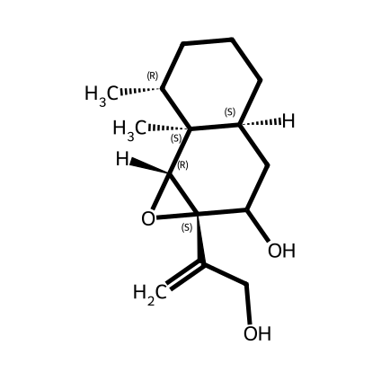 C=C(CO)[C@@]12O[C@@H]1[C@]1(C)[C@@H](CCC[C@H]1C)CC2O